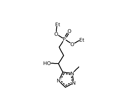 CCOP(=O)(CCC(O)c1ncnn1C)OCC